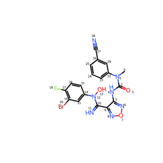 CN(C(=O)Nc1nonc1C(=N)N(O)c1ccc(F)c(Br)c1)c1cccc(C#N)c1